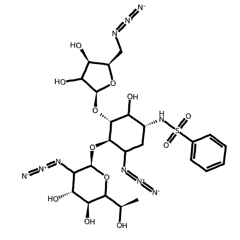 C[C@@H](O)C1O[C@H](O[C@@H]2C(N=[N+]=[N-])C[C@@H](NS(=O)(=O)c3ccccc3)C(O)[C@H]2O[C@@H]2O[C@H](CN=[N+]=[N-])[C@H](O)C2O)C(N=[N+]=[N-])[C@@H](O)[C@@H]1O